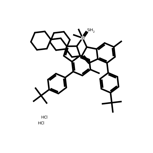 Cc1cc(-c2ccc(C(C)(C)C)cc2)c2c(c1)[CH]([Zr]([CH3])([CH3])(=[SiH2])[CH]1C(CC3CCCCC3)=Cc3c(-c4ccc(C(C)(C)C)cc4)cc(C)cc31)C(CC1CCCCC1)=C2.Cl.Cl